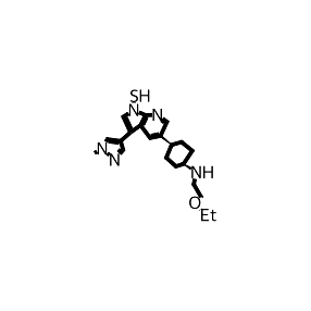 CCOCCN[C@H]1CC[C@@H](c2cnc3c(c2)c(-c2cnn(C)c2)cn3S)CC1